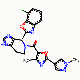 Cn1cc(-c2nc(C(F)(F)F)c(C(=O)N3CCc4[nH]cnc4[C@H]3c3nc4cccc(F)c4o3)o2)cn1